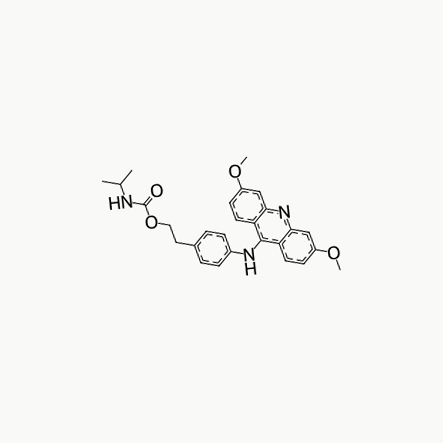 COc1ccc2c(Nc3ccc(CCOC(=O)NC(C)C)cc3)c3ccc(OC)cc3nc2c1